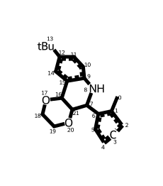 Cc1ccccc1C1Nc2ccc(C(C)(C)C)cc2C2OCCOC12